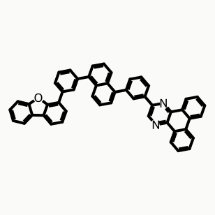 c1cc(-c2cnc3c4ccccc4c4ccccc4c3n2)cc(-c2cccc3c(-c4cccc(-c5cccc6c5oc5ccccc56)c4)cccc23)c1